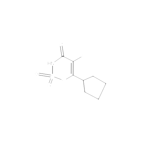 CC1=C(C2CCCC2)OS(=O)(=O)NC1=O